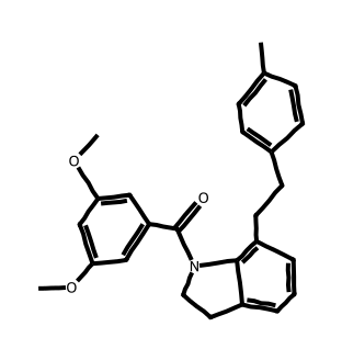 COc1cc(OC)cc(C(=O)N2CCc3cccc(CCc4ccc(C)cc4)c32)c1